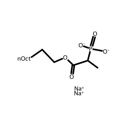 CCCCCCCCCCOC(=O)C(C)P(=O)([O-])[O-].[Na+].[Na+]